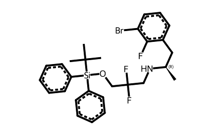 C[C@H](Cc1cccc(Br)c1F)NCC(F)(F)CO[Si](c1ccccc1)(c1ccccc1)C(C)(C)C